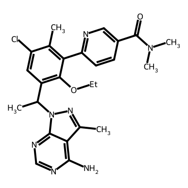 CCOc1c(C(C)n2nc(C)c3c(N)ncnc32)cc(Cl)c(C)c1-c1ccc(C(=O)N(C)C)cn1